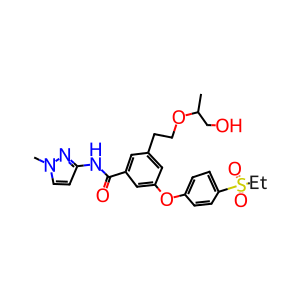 CCS(=O)(=O)c1ccc(Oc2cc(CCOC(C)CO)cc(C(=O)Nc3ccn(C)n3)c2)cc1